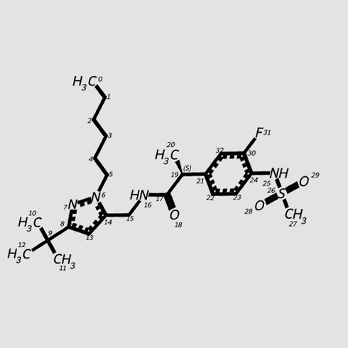 CCCCCCn1nc(C(C)(C)C)cc1CNC(=O)[C@@H](C)c1ccc(NS(C)(=O)=O)c(F)c1